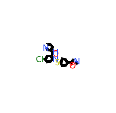 O=C(c1cccnc1)c1cc(Cl)ccc1NSc1ccc(-c2cnco2)cc1